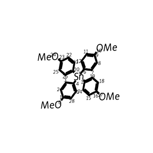 COc1cc[c]([Sn]([c]2ccc(OC)cc2)([c]2ccc(OC)cc2)[c]2ccc(OC)cc2)cc1